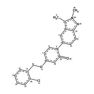 Cc1c2cc(-n3ccc(OCc4ccccc4Cl)cc3=O)ccc2nn1C